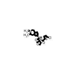 CC1Cc2cc(NC(=O)C3(NC(=O)c4ccc(Cl)s4)CCOC3)ccc2CCN1C